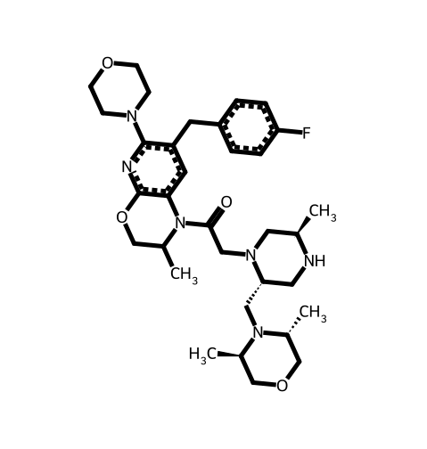 CC1COc2nc(N3CCOCC3)c(Cc3ccc(F)cc3)cc2N1C(=O)CN1C[C@@H](C)NC[C@@H]1CN1[C@H](C)COC[C@H]1C